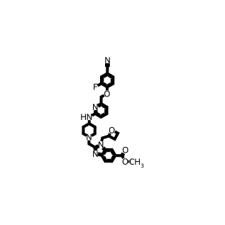 COC(=O)c1ccc2nc(CN3CCC(Nc4cccc(COc5ccc(C#N)cc5F)n4)CC3)n(CC3CCO3)c2c1